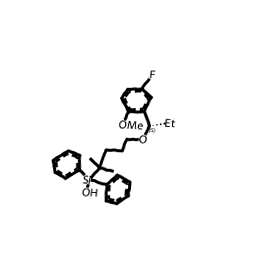 CC[C@H](OCCCC(C)(C)[Si](O)(c1ccccc1)c1ccccc1)c1cc(F)ccc1OC